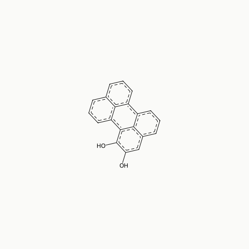 Oc1cc2cccc3c4cccc5cccc(c(c1O)c23)c54